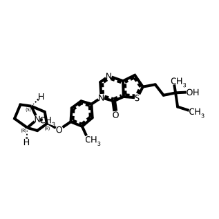 CCC(C)(O)CCc1cc2ncn(-c3ccc(O[C@H]4C[C@H]5CC[C@@H](C4)N5C)c(C)c3)c(=O)c2s1